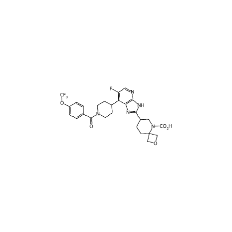 O=C(c1ccc(OC(F)(F)F)cc1)N1CCC(c2c(F)cnc3[nH]c(C4CCC5(COC5)N(C(=O)O)C4)nc23)CC1